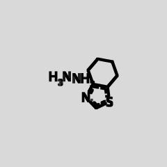 N.N.c1nc2c(s1)CCCC2